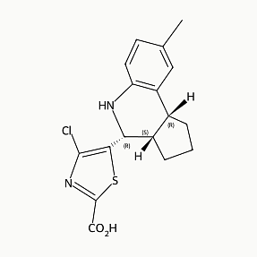 Cc1ccc2c(c1)[C@@H]1CCC[C@@H]1[C@H](c1sc(C(=O)O)nc1Cl)N2